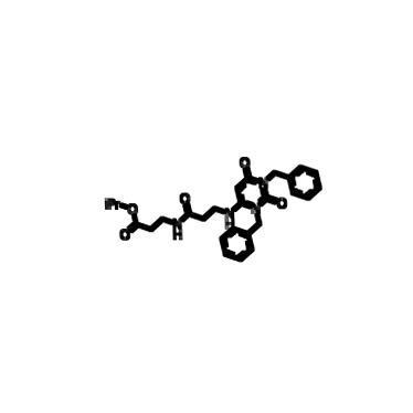 CC(C)OC(=O)CCNC(=O)CCNc1cc(=O)n(Cc2ccccc2)c(=O)n1Cc1ccccc1